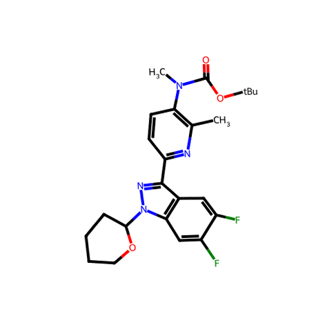 Cc1nc(-c2nn(C3CCCCO3)c3cc(F)c(F)cc23)ccc1N(C)C(=O)OC(C)(C)C